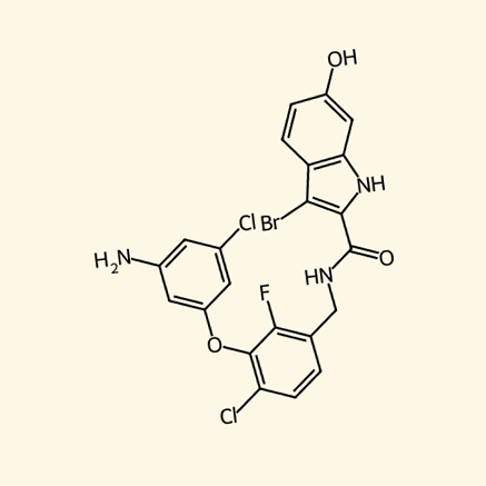 Nc1cc(Cl)cc(Oc2c(Cl)ccc(CNC(=O)c3[nH]c4cc(O)ccc4c3Br)c2F)c1